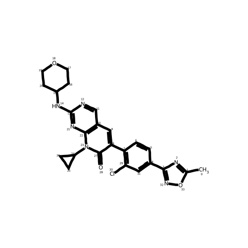 Cc1nc(-c2ccc(-c3cc4cnc(NC5CCOCC5)nc4n(C4CC4)c3=O)c(Cl)c2)no1